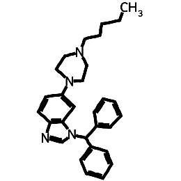 CCCCCN1CCN(c2ccc3ncn(C(c4ccccc4)c4ccccc4)c3c2)CC1